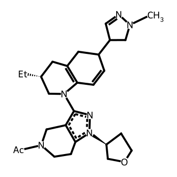 CC[C@@H]1CC2=C(C=CC(C3C=NN(C)C3)C2)N(c2nn([C@H]3CCOC3)c3c2CN(C(C)=O)CC3)C1